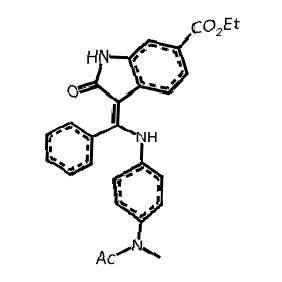 CCOC(=O)c1ccc2c(c1)NC(=O)C2=C(Nc1ccc(N(C)C(C)=O)cc1)c1ccccc1